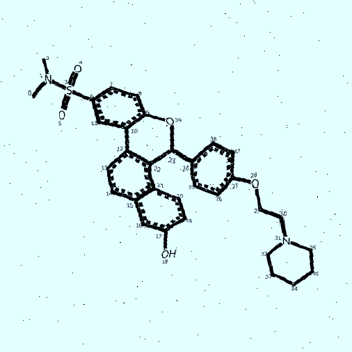 CN(C)S(=O)(=O)c1ccc2c(c1)-c1ccc3cc(O)ccc3c1C(c1ccc(OCCN3CCCCC3)cc1)O2